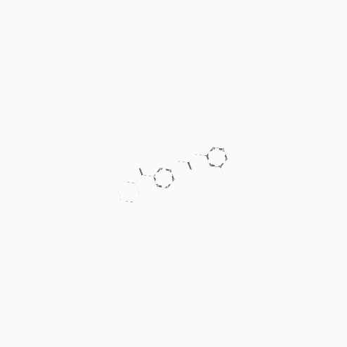 CN1CCC(C(=O)c2cccc(NC(=S)Nc3cc(F)cc(F)c3)c2)CC1